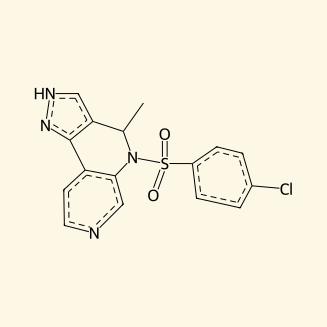 CC1c2c[nH]nc2-c2ccncc2N1S(=O)(=O)c1ccc(Cl)cc1